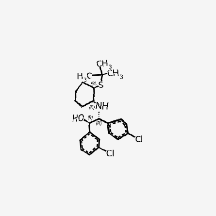 CC(C)(C)S[C@@H]1CCCC[C@H]1N[C@H](c1ccc(Cl)cc1)[C@H](O)c1cccc(Cl)c1